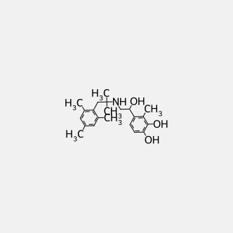 Cc1cc(C)c(CC(C)(C)NCC(O)c2ccc(O)c(O)c2C)c(C)c1